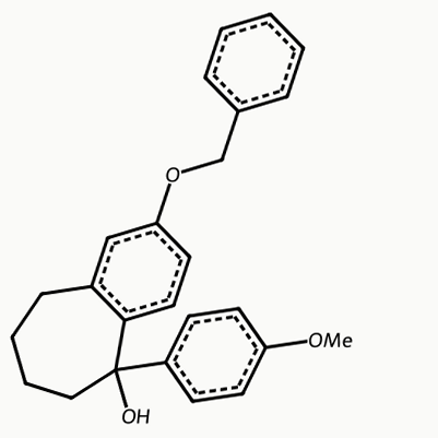 COc1ccc(C2(O)CCCCc3cc(OCc4ccccc4)ccc32)cc1